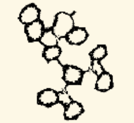 CC1CC=C2c3c(ccc4ccccc34)-c3ccc(-c4cc(-n5c6ccccc6c6ccccc65)cc(-n5c6ccccc6c6ccccc65)c4)cc3N2c2ccccc21